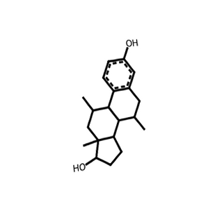 CC1CC2(C)C(O)CCC2C2C(C)Cc3cc(O)ccc3C12